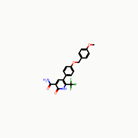 COc1ccc(COc2ccc(-c3cc(C(N)=O)c(=O)[nH]c3C(F)(F)F)cc2)cc1